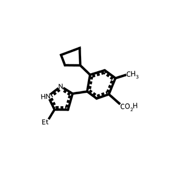 CCc1cc(-c2cc(C(=O)O)c(C)cc2C2CCC2)n[nH]1